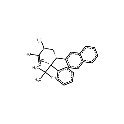 CN(C[C@H](c1ccc2ccccc2c1)[C@@](O)(c1ccccc1)C(C)(C)C)C(=O)O